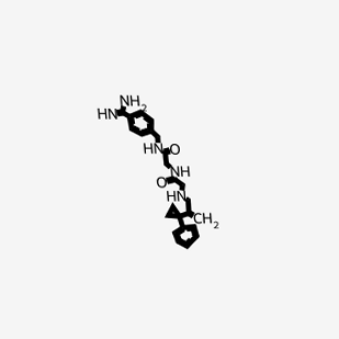 C=C(CNCC(=O)NCC(=O)NCc1ccc(C(=N)N)cc1)C1(c2ccccc2)CC1